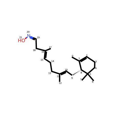 CC1=CCCC(C)(C)[C@@H]1C/C=C(\C)CC/C=C(\C)C/C=N\O